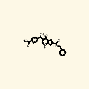 CC(c1ccc(C(=O)O)cc1)c1c[nH]c2c(c1=O)C=C(C(=O)NCc1ccccc1)C2